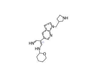 N=C/C(=C\NC1CCCCO1)c1cnc2c(ccn2CC2CCNC2)c1